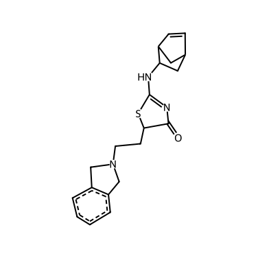 O=C1N=C(NC2CC3C=CC2C3)SC1CCN1Cc2ccccc2C1